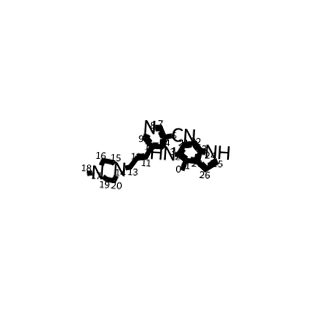 Cc1c(Nc2c(C#N)cncc2C=CCN2CCN(C)CC2)ccc2[nH]ccc12